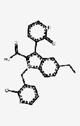 CCc1ccc2c(c1)c(-c1ccc[nH]c1=O)c(C(=O)O)n2Cc1cccnc1Cl